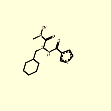 CN(C#N)C(=O)[C@H](CC1CCCCC1)NC(=O)c1ccsc1